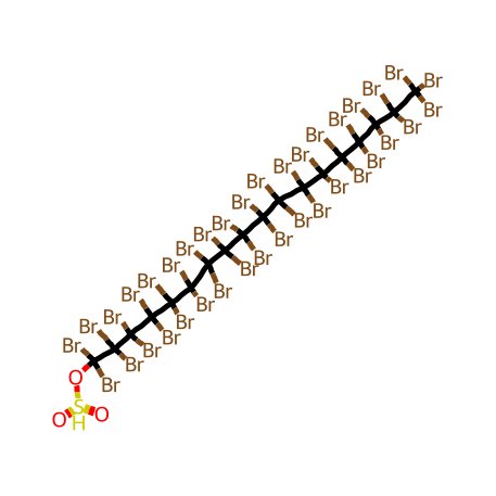 O=[SH](=O)OC(Br)(Br)C(Br)(Br)C(Br)(Br)C(Br)(Br)C(Br)(Br)C(Br)(Br)C(Br)(Br)C(Br)(Br)C(Br)(Br)C(Br)(Br)C(Br)(Br)C(Br)(Br)C(Br)(Br)C(Br)(Br)C(Br)(Br)C(Br)(Br)C(Br)(Br)C(Br)(Br)Br